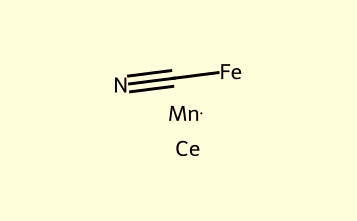 N#[C][Fe].[Ce].[Mn]